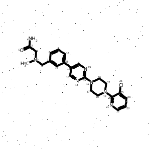 CN(CC(N)=O)Cc1cccc(-c2cnc(N3CCN(c4ncccc4Cl)CC3)nc2)c1